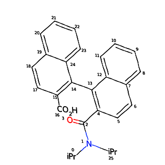 CC(C)N(C(=O)c1ccc2ccccc2c1-c1c(C(=O)O)ccc2ccccc12)C(C)C